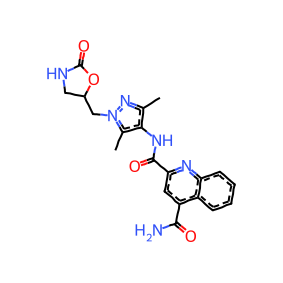 Cc1nn(CC2CNC(=O)O2)c(C)c1NC(=O)c1cc(C(N)=O)c2ccccc2n1